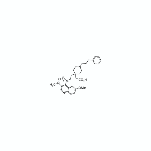 COc1ccc2ncc(N(C)C)c([C@@H](F)CCC3(CC(=O)O)CCN(CCCc4ccccc4)CC3)c2c1